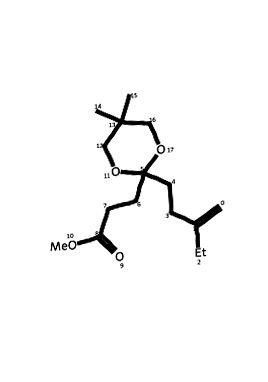 C=C(CC)CCC1(CCC(=O)OC)OCC(C)(C)CO1